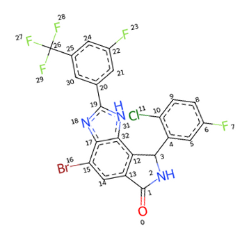 O=C1NC(c2cc(F)ccc2Cl)c2c1cc(Br)c1nc(-c3cc(F)cc(C(F)(F)F)c3)[nH]c21